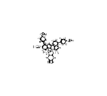 CC1=Cc2c(-c3ccc(C(C)(C)C)cc3)cccc2[CH]1[Zr](=[SiH2])([CH2]C1CCCCC1)[CH]1C(C)=Cc2c(-c3ccc(C(C)(C)C)cc3)cccc21.Cl.Cl